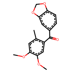 COc1cc(C)c(C(=O)c2ccc3c(c2)OCO3)cc1OC